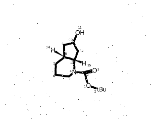 CC(C)(C)OC(=O)N1CCC[C@@H]2CC(O)C[C@@H]21